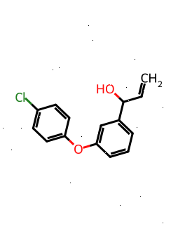 C=CC(O)c1cccc(Oc2ccc(Cl)cc2)c1